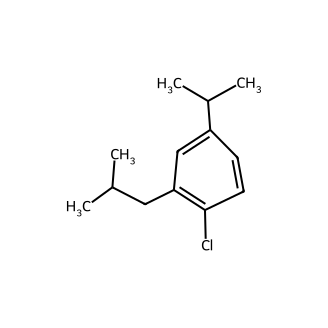 CC(C)Cc1cc(C(C)C)ccc1Cl